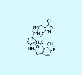 Cc1noc(C)c1Cn1cc(-c2cnc(N)c(OC(C)c3c(Cl)ccc(F)c3C)c2)cn1